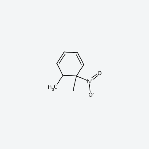 CC1C=CC=CC1(I)[N+](=O)[O-]